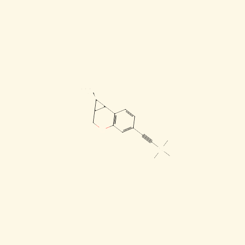 CCOC(=O)[C@@H]1C2COc3cc(C#C[Si](C)(C)C)ccc3C21